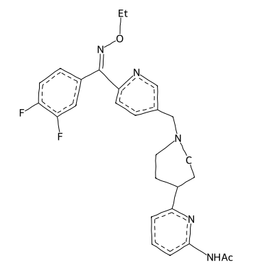 CCON=C(c1ccc(F)c(F)c1)c1ccc(CN2CCC(c3cccc(NC(C)=O)n3)CC2)cn1